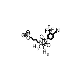 CC1(C)C(=O)N(c2ccc(C#N)c(C(F)(F)F)c2)C(=O)N1CCCCO[N+](=O)[O-]